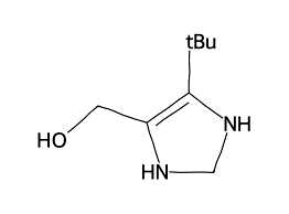 CC(C)(C)C1=C(CO)NCN1